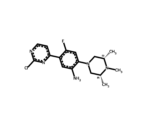 C[C@@H]1CN(c2cc(F)c(-c3ccnc(Cl)n3)cc2N)C[C@H](C)N1C